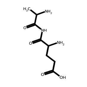 CC(N)C(=O)NC(=O)C(N)CCC(=O)O